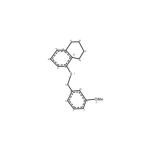 COc1cccc(CSc2cccc3c2CCCC3)c1